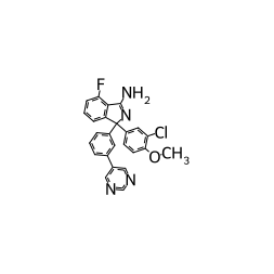 COc1ccc(C2(c3cccc(-c4cncnc4)c3)N=C(N)c3c(F)cccc32)cc1Cl